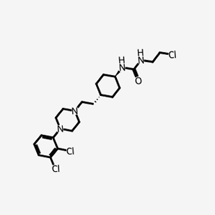 O=C(NCCCl)N[C@H]1CC[C@H](CCN2CCN(c3cccc(Cl)c3Cl)CC2)CC1